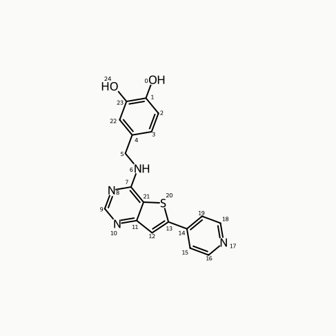 Oc1ccc(CNc2ncnc3cc(-c4ccncc4)sc23)cc1O